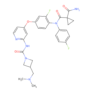 CN(C)CC1CN(C(=O)Nc2cc(Oc3ccc(N(C(=O)C4(C(N)=O)CC4)c4ccc(F)cc4)c(F)c3)ccn2)C1